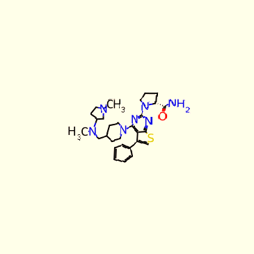 CN1CCC(N(C)CC2CCN(c3nc(N4CCC[C@@H]4C(N)=O)nc4scc(-c5ccccc5)c34)CC2)C1